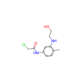 Cc1ccc(NC(=O)CCl)cc1NCCO